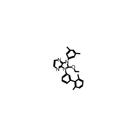 CCOC1N(c2cc(C)cc(C)c2)c2nccnc2N1c1cccc(-c2c(C)cccc2C)c1